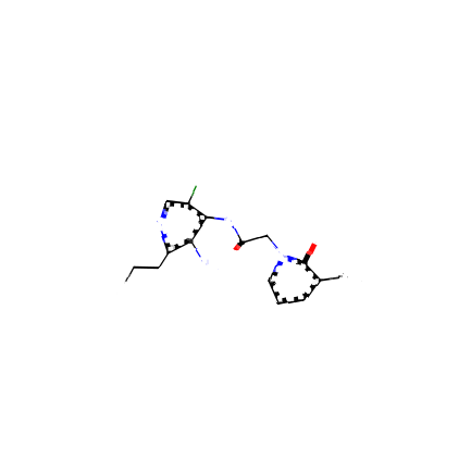 Nc1c(CCC(F)(F)F)ncc(F)c1NC(=O)Cn1cccc([N+](=O)[O-])c1=O